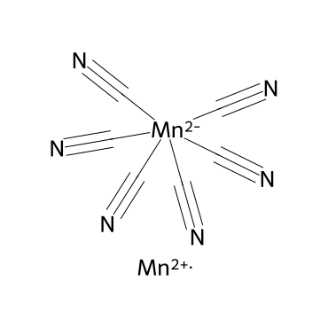 N#[C][Mn-2]([C]#N)([C]#N)([C]#N)([C]#N)[C]#N.[Mn+2]